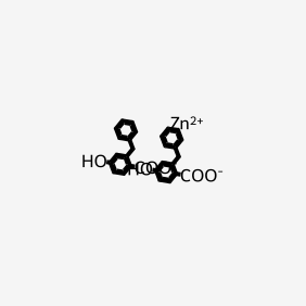 O=C([O-])c1ccc(O)cc1Cc1ccccc1.O=C([O-])c1ccc(O)cc1Cc1ccccc1.[Zn+2]